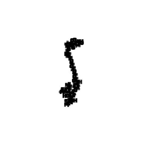 O=C1CCC(N2C(=O)c3cccc(OCc4cn(CCOCCOCCOCCOCC(=O)Nc5ccc(OCc6ccc(-c7cc(C(F)(F)F)n[nH]7)c(O)c6-c6cc(C(F)(F)F)cc(C(F)(F)F)c6)cc5)nn4)c3C2=O)C(=O)N1